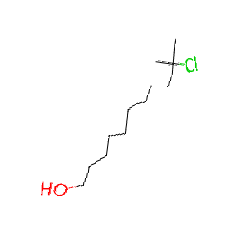 CC(C)(C)Cl.CCCCCCCCO